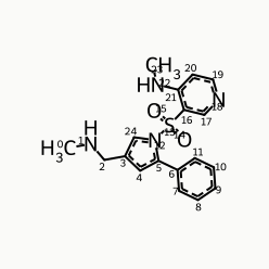 CNCc1cc(-c2ccccc2)n(S(=O)(=O)c2cnccc2NC)c1